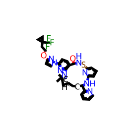 CC1(C)C[C@@H]2CCC(c3ccccn3)Nc3cccc(n3)SNC(=O)c3ccc(-n4ccc(OCCC5(C(F)(F)F)CC5)n4)nc3N1C2